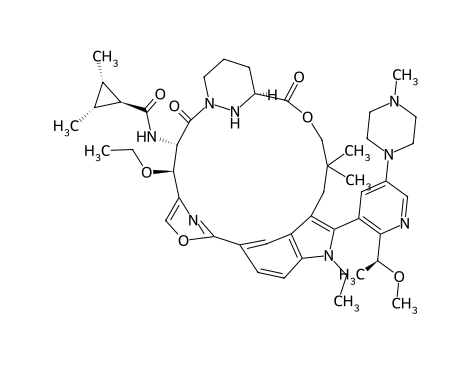 CCO[C@@H]1c2coc(n2)-c2ccc3c(c2)c(c(-c2cc(N4CCN(C)CC4)cnc2[C@H](C)OC)n3CC)CC(C)(C)COC(=O)[C@@H]2CCCN(N2)C(=O)[C@H]1NC(=O)[C@H]1[C@H](C)[C@@H]1C